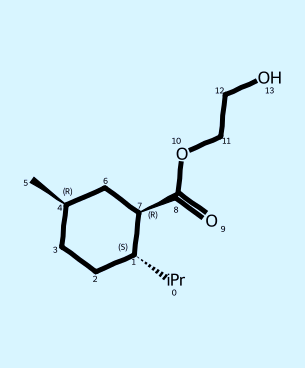 CC(C)[C@@H]1CC[C@@H](C)C[C@H]1C(=O)OCCO